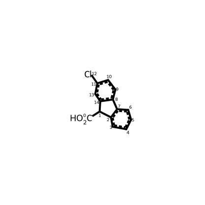 O=C(O)C1c2ccccc2-c2ccc(Cl)cc21